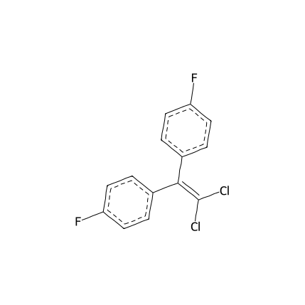 Fc1ccc(C(=C(Cl)Cl)c2ccc(F)cc2)cc1